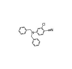 N#Cc1ccc(N(Cc2ccccc2)Cc2ccccc2)cc1Cl